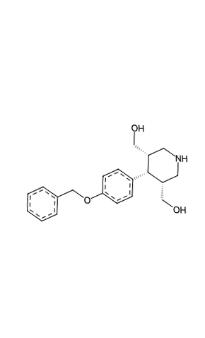 OC[C@@H]1CNC[C@H](CO)[C@@H]1c1ccc(OCc2ccccc2)cc1